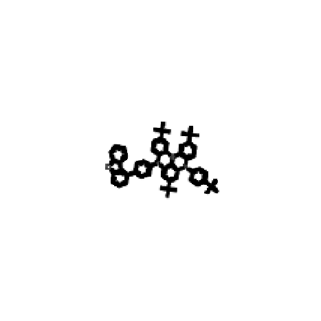 CC(C)(C)c1ccc(N2c3ccc(C(C)(C)C)cc3B3c4cc(C(C)(C)C)ccc4N(c4ccc(-c5cccc6oc7ccccc7c56)cc4)c4cc(C(C)(C)C)cc2c43)cc1